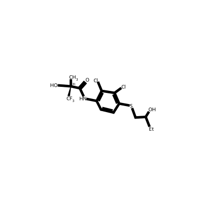 CCC(O)CSc1ccc(NC(=O)[C@@](C)(O)C(F)(F)F)c(Cl)c1Cl